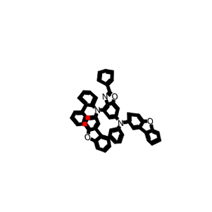 c1ccc(-c2nc3c(N(c4ccc5oc6ccccc6c5c4)c4ccccc4-c4ccccc4)cc(N(c4ccccc4)c4ccc5oc6ccccc6c5c4)cc3o2)cc1